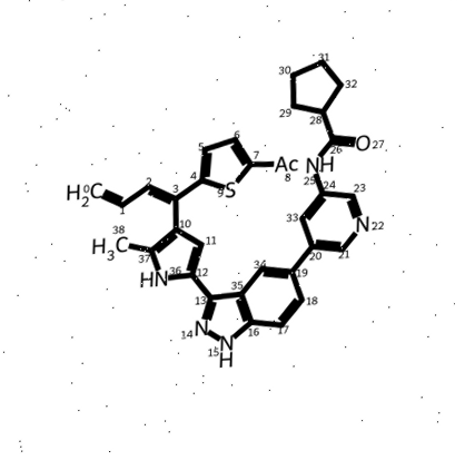 C=C/C=C(/c1ccc(C(C)=O)s1)c1cc(-c2n[nH]c3ccc(-c4cncc(NC(=O)C5CCCC5)c4)cc23)[nH]c1C